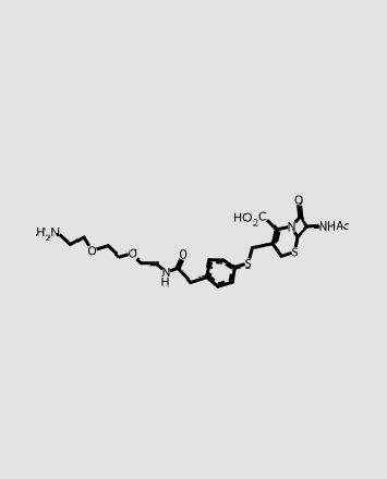 CC(=O)NC1C(=O)N2C(C(=O)O)=C(CSc3ccc(CC(=O)NCCOCCOCCN)cc3)CSC12